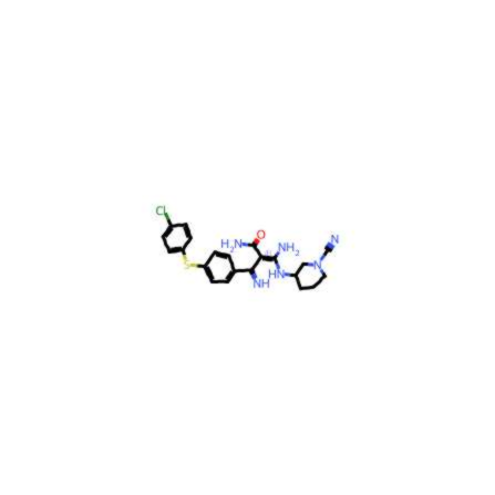 N#CN1CCCC(N/C(N)=C(\C(=N)c2ccc(Sc3ccc(Cl)cc3)cc2)C(N)=O)C1